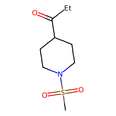 CCC(=O)C1CCN(S(C)(=O)=O)CC1